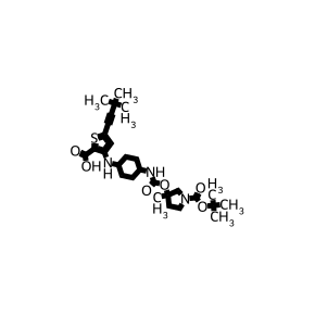 CC(C)(C)C#Cc1cc(NC2CCC(NC(=O)OC3(C)CCN(C(=O)OC(C)(C)C)C3)CC2)c(C(=O)O)s1